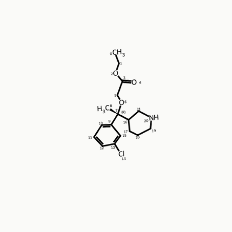 CCOC(=O)CO[C@@](C)(c1cccc(Cl)c1)C1CCCNC1